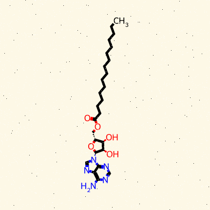 CCCCCCCCCCCCCCCC(=O)OC[C@H]1O[C@@H](n2cnc3c(N)ncnc32)[C@H](O)[C@@H]1O